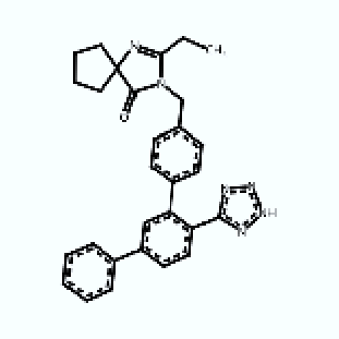 CCC1=NC2(CCCC2)C(=O)N1Cc1ccc(-c2cc(-c3ccccc3)ccc2-c2nn[nH]n2)cc1